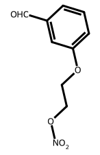 O=Cc1cccc(OCCO[N+](=O)[O-])c1